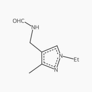 CCn1cc(CNC=O)c(C)n1